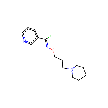 ClC(=NOCCCN1CCCCC1)c1cccnc1